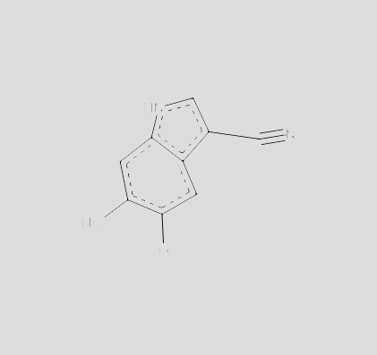 N#Cc1c[nH]c2cc(O)c(O)cc12